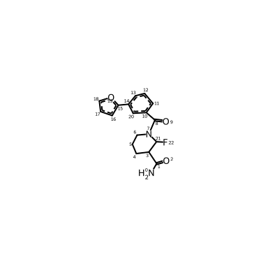 NC(=O)C1CCCN(C(=O)c2cccc(-c3ccco3)c2)C1F